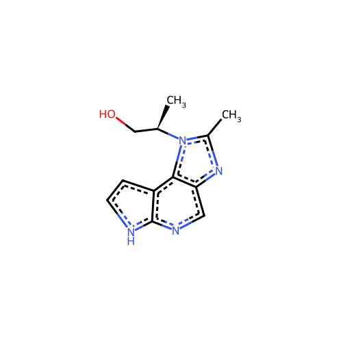 Cc1nc2cnc3[nH]ccc3c2n1[C@H](C)CO